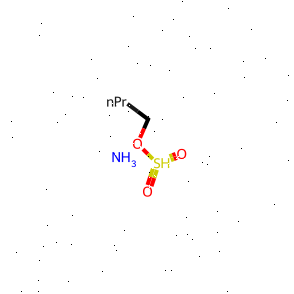 CCCCO[SH](=O)=O.N